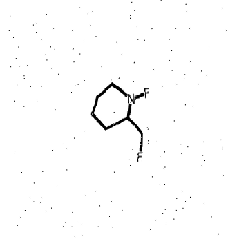 FCC1CCCCN1F